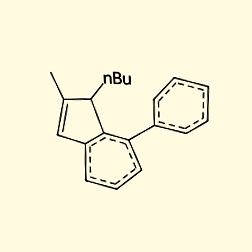 CCCCC1C(C)=Cc2cccc(-c3ccccc3)c21